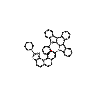 c1ccc(-c2nc3c(ccc4ccc5cc(-n6c7ccccc7c7c8ccccc8c8c9ccccc9n(-c9ccccc9)c8c76)ccc5c43)s2)cc1